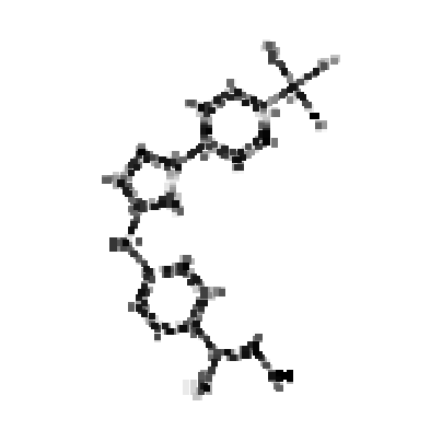 N/C(=N\O)c1ccc(Nc2ncn(-c3ccc(C(F)(F)F)cn3)n2)cn1